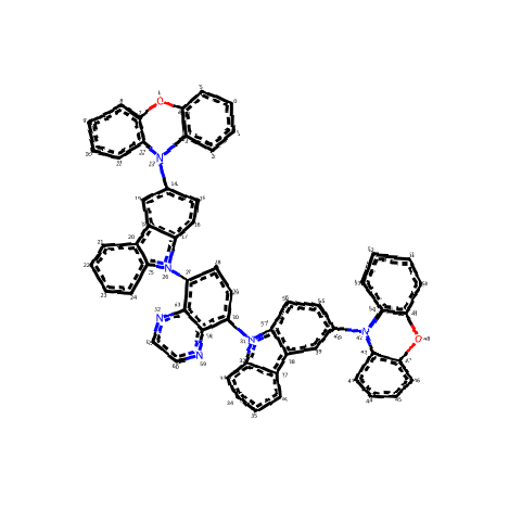 c1ccc2c(c1)Oc1ccccc1N2c1ccc2c(c1)c1ccccc1n2-c1ccc(-n2c3ccccc3c3cc(N4c5ccccc5Oc5ccccc54)ccc32)c2nccnc12